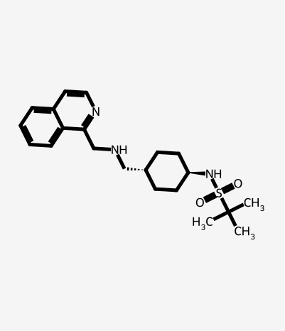 CC(C)(C)S(=O)(=O)N[C@H]1CC[C@H](CNCc2nccc3ccccc23)CC1